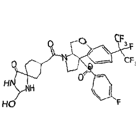 O=C(C1CCC2(CC1)NC(O)NC2=O)N1CCC2(S(=O)(=O)c3ccc(F)cc3)c3ccc(C(F)(C(F)(F)F)C(F)(F)F)cc3OCC12